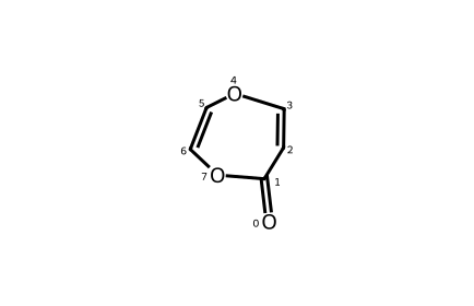 O=C1C=COC=CO1